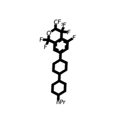 CCCC1CCC(C2CCC(c3cc(F)c4c(c3)C(F)(F)OC(C(F)(F)F)C4(F)F)CC2)CC1